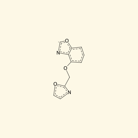 [c]1nc2c(OCc3ncco3)cccc2o1